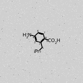 CC(C)Cc1cc(N)ccc1C(=O)O